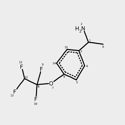 CC(N)c1ccc(OC(F)(F)C(F)F)cc1